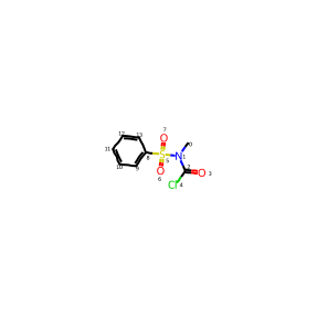 CN(C(=O)Cl)S(=O)(=O)c1ccccc1